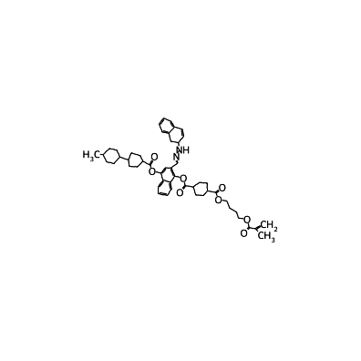 C=C(C)C(=O)OCCCCOC(=O)C1CCC(C(=O)Oc2c(/C=N/NC3C=Cc4ccccc4C3)cc(OC(=O)C3CCC(C4CCC(C)CC4)CC3)c3ccccc23)CC1